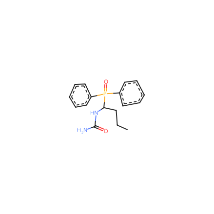 CCCC(NC(N)=O)P(=O)(c1ccccc1)c1ccccc1